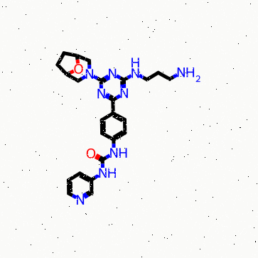 NCCCNc1nc(-c2ccc(NC(=O)Nc3cccnc3)cc2)nc(N2CC3CCC(C2)O3)n1